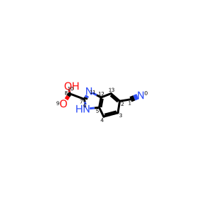 N#Cc1ccc2[nH]c(C(=O)O)nc2c1